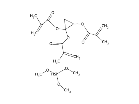 C=C(C)C(=O)OC1CC1(OC(=O)C(=C)C)OC(=O)C(=C)C.CO[SiH](OC)OC